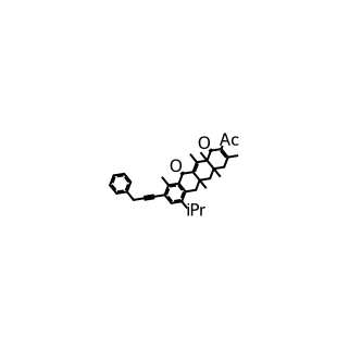 CC(=O)C1=C(C)CC2(C)CC3(C)Cc4c(C(C)C)cc(C#CCc5ccccc5)c(C)c4C(=O)C3=C(C)C2(C)C1=O